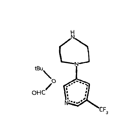 CC(C)(C)OC=O.FC(F)(F)c1cncc(N2CCNCC2)c1